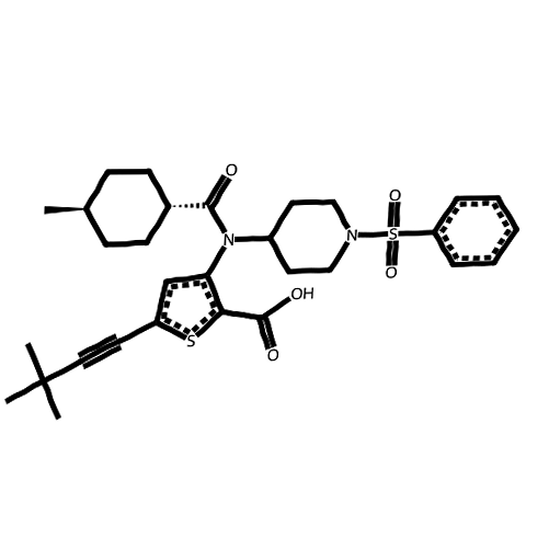 CC(C)(C)C#Cc1cc(N(C(=O)[C@H]2CC[C@H](C)CC2)C2CCN(S(=O)(=O)c3ccccc3)CC2)c(C(=O)O)s1